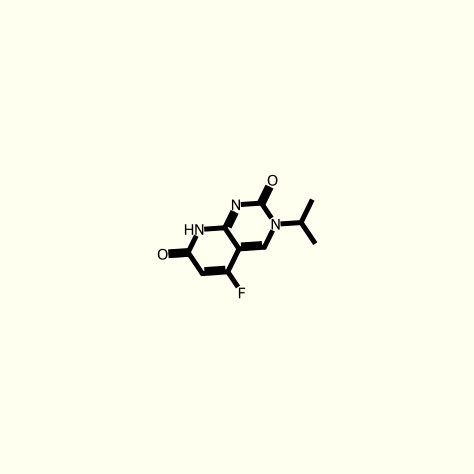 CC(C)n1cc2c(F)cc(=O)[nH]c2nc1=O